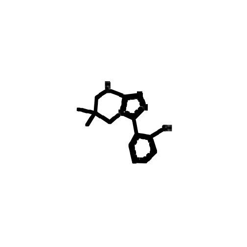 CC1(C)CNc2nnc(-c3ccccc3O)n2C1